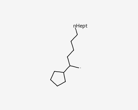 [CH2]C(CCCCCCCCCCC)C1CCCC1